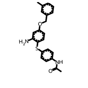 CC(=O)Nc1ccc(Sc2ccc(OCc3cccc(C)c3)cc2N)cc1